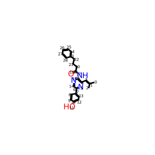 CC(C)=Cc1nc(-c2ccc(O)cc2)cnc1NC(=O)CCCc1ccccc1